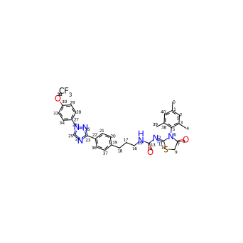 Cc1cc(C)c(N2C(=O)CS/C2=N\C(=O)NCCCc2ccc(-c3ncn(-c4ccc(OC(F)(F)F)cc4)n3)cc2)c(C)c1